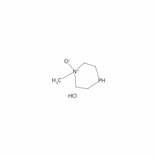 C[N+]1([O-])CCPCC1.Cl